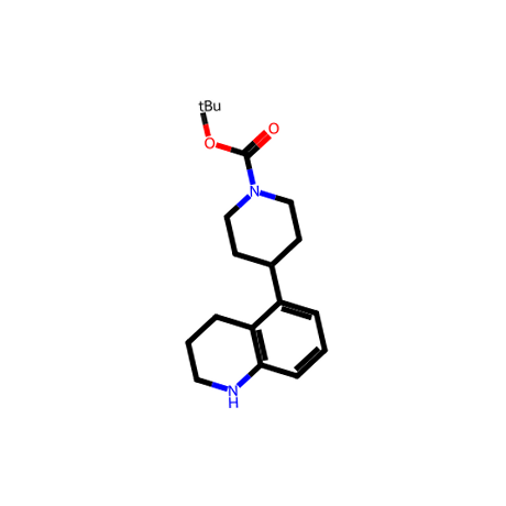 CC(C)(C)OC(=O)N1CCC(c2cccc3c2CCCN3)CC1